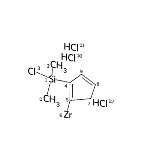 C[Si](C)(Cl)C1=[C]([Zr])CC=C1.Cl.Cl.Cl